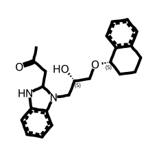 CC(=O)CC1Nc2ccccc2N1C[C@H](O)CO[C@H]1CCCc2ccccc21